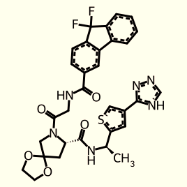 C[C@@H](NC(=O)[C@@H]1CC2(CN1C(=O)CNC(=O)c1ccc3c(c1)-c1ccccc1C3(F)F)OCCO2)c1cc(-c2nnc[nH]2)cs1